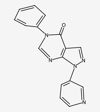 O=c1c2cnn(-c3cccnc3)c2ncn1-c1ccccc1